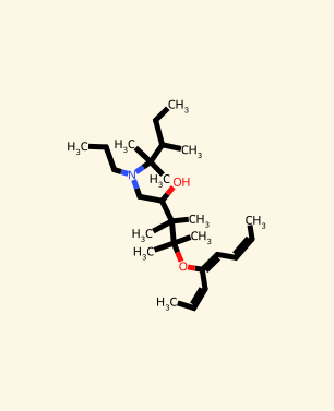 C\C=C/C=C(\C=C/C)OC(C)(C)C(C)(C)C(O)CN(CCC)C(C)(C)C(C)CC